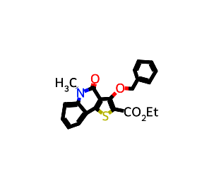 CCOC(=O)c1sc2c(c1OCc1ccccc1)c(=O)n(C)c1ccccc21